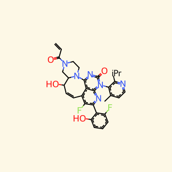 C=CC(=O)N1CCN2c3nc(=O)n(-c4c(C)ccnc4C(C)C)c4nc(-c5c(O)cccc5F)c(F)c(c34)/C=C\C(O)C2C1